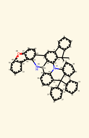 CC1(C)c2ccccc2-c2cc3c4c(c21)N1c2ccccc2C(c2ccccc2)(c2ccccc2)c2cccc(c21)B4Nc1c-3ccc2oc3ccccc3c12